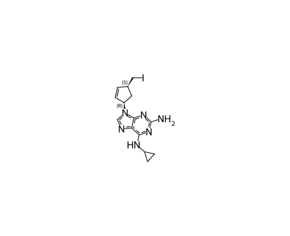 Nc1nc(NC2CC2)c2ncn([C@H]3C=C[C@@H](CI)C3)c2n1